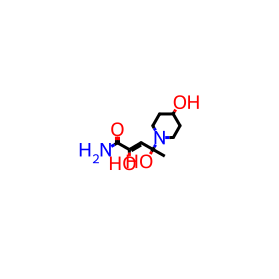 CC(O)(/C=C(\O)C(N)=O)N1CCC(O)CC1